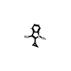 CC(C)(C)c1c(C2CC2)n(C(C)(C)C)c2ccccc12